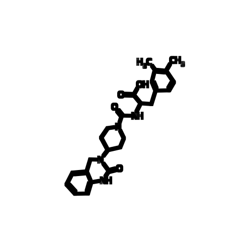 Cc1ccc(CC(NC(=O)N2CCC(N3Cc4ccccc4NC3=O)CC2)C(=O)O)cc1C